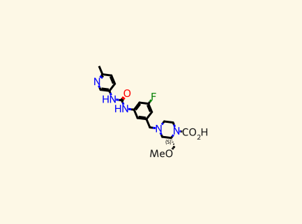 COC[C@@H]1CN(Cc2cc(F)cc(NC(=O)Nc3ccc(C)nc3)c2)CCN1C(=O)O